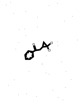 O=C(CC1CC1(Cl)Cl)c1ccccc1